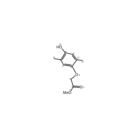 COC(=O)COc1cc(C)c(O)cc1C